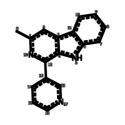 Cc1cc2c([nH]c3ccccc32)c(-c2cccnc2)n1